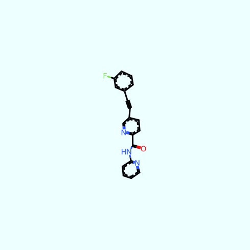 O=C(Nc1ccccn1)c1ccc(C#Cc2cccc(F)c2)cn1